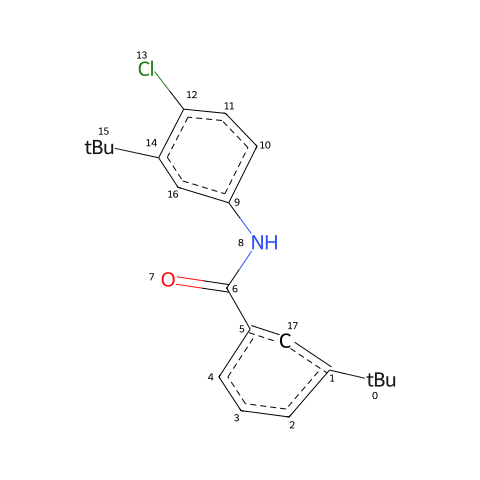 CC(C)(C)c1cccc(C(=O)Nc2ccc(Cl)c(C(C)(C)C)c2)c1